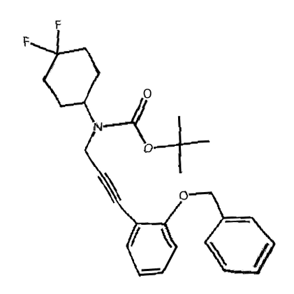 CC(C)(C)OC(=O)N(CC#Cc1ccccc1OCc1ccccc1)C1CCC(F)(F)CC1